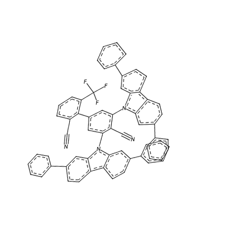 N#Cc1cccc(C(F)(F)F)c1-c1cc(-n2c3cc(-c4ccccc4)ccc3c3ccc(-c4ccccc4)cc32)c(C#N)c(-n2c3cc(-c4ccccc4)ccc3c3ccc(-c4ccccc4)cc32)c1